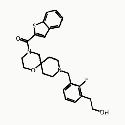 O=C(c1cc2ccccc2s1)N1CCOC2(CCN(Cc3cccc(CCO)c3F)CC2)C1